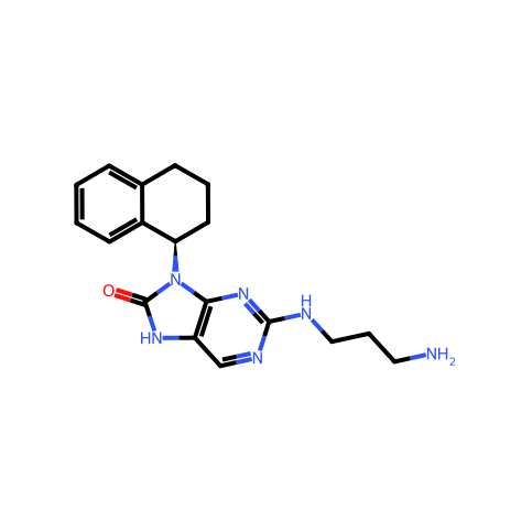 NCCCNc1ncc2[nH]c(=O)n([C@@H]3CCCc4ccccc43)c2n1